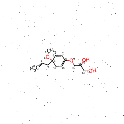 C=CCC1(OC)C=CC(OCC(O)CO)=CC1